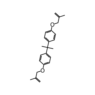 C=C(C)COc1ccc(C(C)(C)c2ccc(OCC(=C)C)cc2)cc1